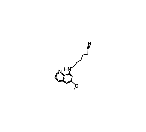 COc1cc(NCCCCCC#N)c2ncccc2c1